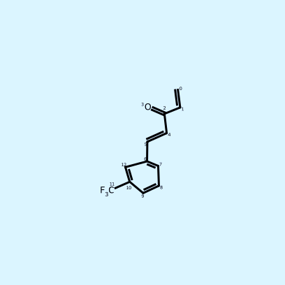 C=CC(=O)C=Cc1cccc(C(F)(F)F)c1